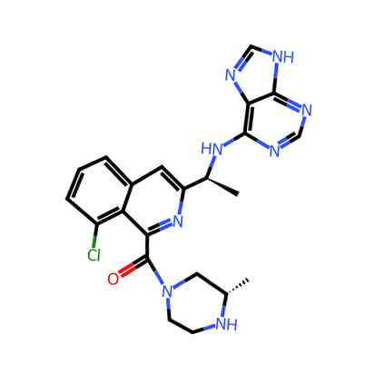 C[C@H](Nc1ncnc2[nH]cnc12)c1cc2cccc(Cl)c2c(C(=O)N2CCN[C@@H](C)C2)n1